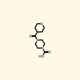 O=C(O)N1CCN(C(=O)C2CCOCC2)CC1